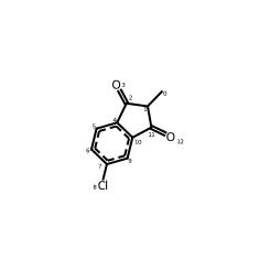 CC1C(=O)c2ccc(Cl)cc2C1=O